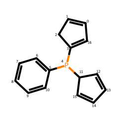 C1=CCC(P(c2ccccc2)C2C=CC=C2)=C1